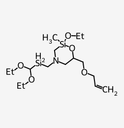 C=CCOCC1CN(C[SiH2]C(OCC)OCC)C[Si](C)(OCC)O1